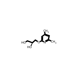 Cc1cc(C)nc(OC[C@@H](O)CO)c1